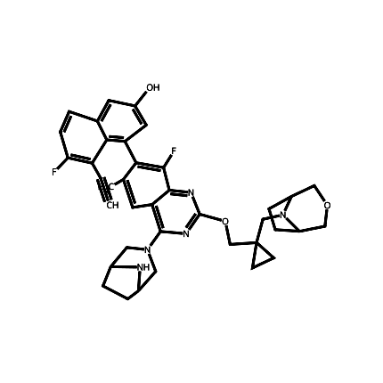 C#Cc1c(F)ccc2cc(O)cc(-c3c(C)cc4c(N5CC6CCC(C5)N6)nc(OCC5(CN6C7CCC6COC7)CC5)nc4c3F)c12